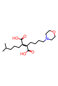 CC(C)CCCC(C(=O)O)=C(CCCCN1CCOCC1)C(=O)O